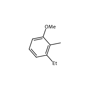 CCc1cccc(OC)c1C